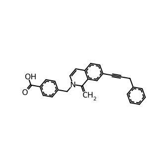 C=C1c2cc(C#CCc3ccccc3)ccc2C=CN1Cc1ccc(C(=O)O)cc1